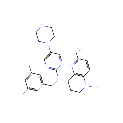 CCOC(=O)N1c2ccc(OC)nc2[C@@H](N(Cc2cc(C(F)(F)F)cc(C(F)(F)F)c2)c2ncc(N3CCNCC3)cn2)C[C@H]1CC